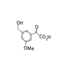 COc1cc(CO)cc(C(=O)C(=O)O)c1